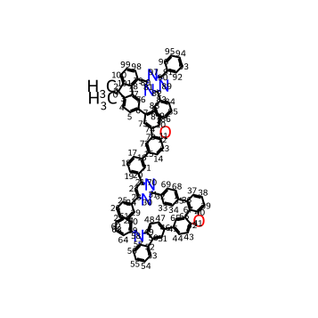 CC1(C)c2ccc(-c3ccc4oc5ccc(-c6cccc(-c7cc(-c8ccccc8)nc(-c8ccc(-c9cccc%10oc%11ccc(-c%12ccc%13c(c%12)c%12ccccc%12n%13-c%12ccccc%12)cc%11c9%10)cc8)n7)c6)cc5c4c3)cc2-c2c(-c3nc(-c4ccccc4)nc(-c4ccccc4)n3)cccc21